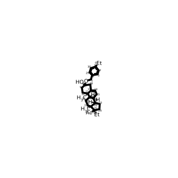 CCc1ccc(COC2(O)CC[C@@]3(C)C(=CC[C@@H]4[C@@H]3CC[C@@]3(C)[C@H]4CC[C@]3(CC)C(C)=O)C2)cc1